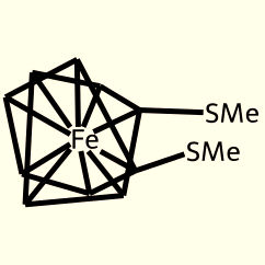 CS[C]12[CH]3[CH]4[CH]5[CH]1[Fe]45321678[CH]2[CH]1[CH]6[C]7(SC)[CH]28